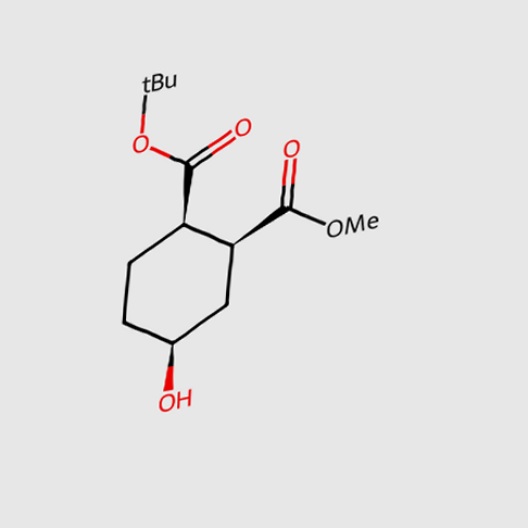 COC(=O)[C@H]1C[C@@H](O)CC[C@H]1C(=O)OC(C)(C)C